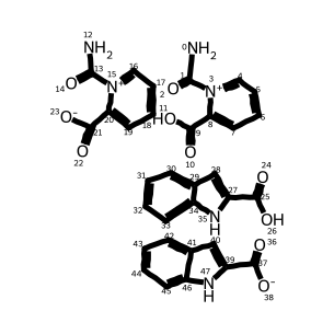 NC(=O)[n+]1ccccc1C(=O)O.NC(=O)[n+]1ccccc1C(=O)[O-].O=C(O)c1cc2ccccc2[nH]1.O=C([O-])c1cc2ccccc2[nH]1